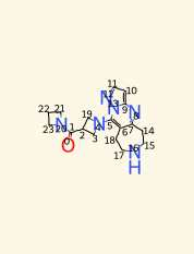 O=C(C1CN(c2c3c(nc4ccnn24)CCNCC3)C1)N1CCC1